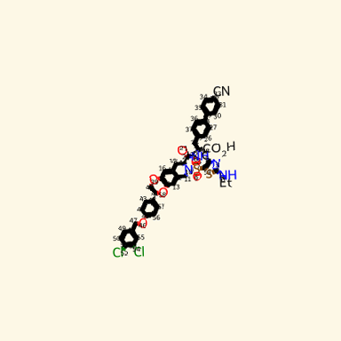 CCNc1nc(C)c(S(=O)(=O)N2Cc3cc4c(cc3C[C@H]2C(=O)NC(Cc2ccc(-c3ccc(C#N)cc3)cc2)C(=O)O)OC[C@@H](c2ccc(OCc3ccc(Cl)c(Cl)c3)cc2)O4)s1